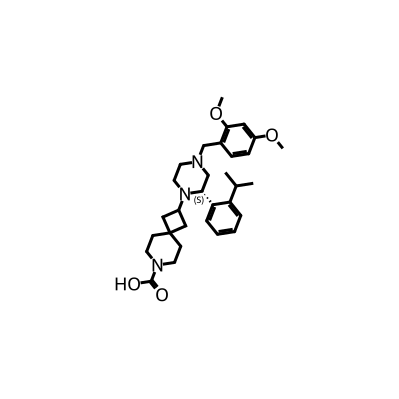 COc1ccc(CN2CCN(C3CC4(CCN(C(=O)O)CC4)C3)[C@@H](c3ccccc3C(C)C)C2)c(OC)c1